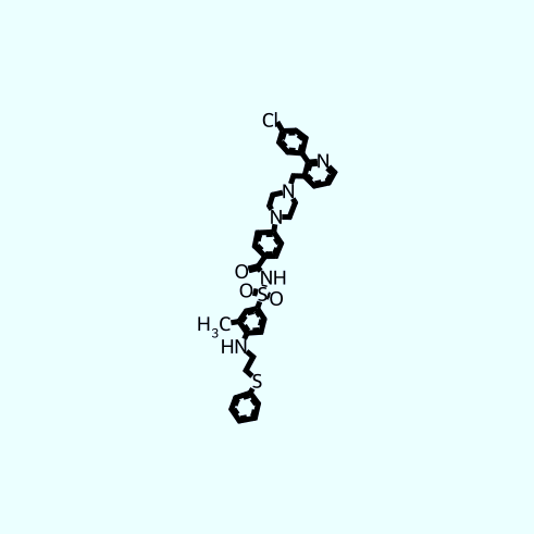 Cc1cc(S(=O)(=O)NC(=O)c2ccc(N3CCN(Cc4cccnc4-c4ccc(Cl)cc4)CC3)cc2)ccc1NCCSc1ccccc1